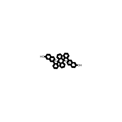 CC1(c2ccccc2-c2ccc3ccc(O)cc3c2)c2ccccc2C(C)(c2ccccc2-c2ccc3ccc(O)cc3c2)c2ccccc21